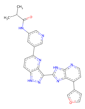 CC(C)C(=O)Nc1cncc(-c2ccc3[nH]nc(-c4nc5c(-c6ccoc6)ccnc5[nH]4)c3n2)c1